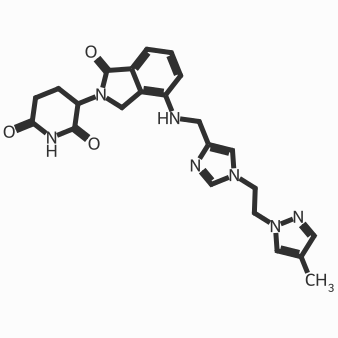 Cc1cnn(CCn2cnc(CNc3cccc4c3CN(C3CCC(=O)NC3=O)C4=O)c2)c1